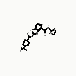 O=C(Nc1nc2c(C(=O)Nc3ncc[nH]3)cccc2[nH]1)c1ccc(C(F)(F)F)cc1